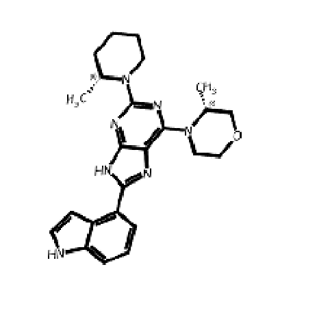 C[C@@H]1CCCCN1c1nc(N2CCOC[C@H]2C)c2nc(-c3cccc4[nH]ccc34)[nH]c2n1